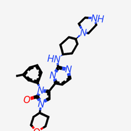 Cc1cccc(-n2c(-c3ccnc(N[C@H]4CC[C@H](N5CCNCC5)CC4)n3)cn(C3CCOCC3)c2=O)c1